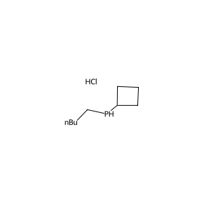 CCCCCPC1CCC1.Cl